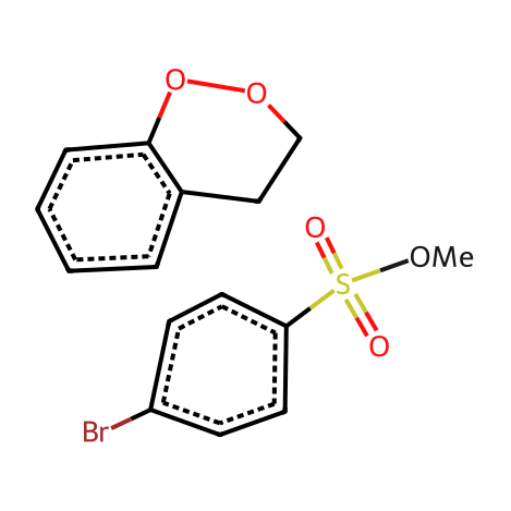 COS(=O)(=O)c1ccc(Br)cc1.c1ccc2c(c1)CCOO2